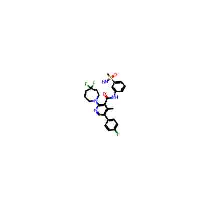 Cc1c(-c2ccc(F)cc2)cnc(N2CCCC(F)(F)CC2)c1C(=O)Nc1cccc(S(C)(=N)=O)c1